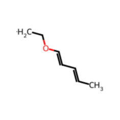 [CH2]COC=CC=CC